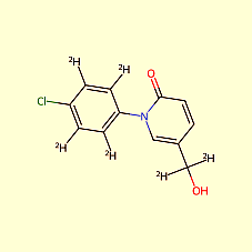 [2H]c1c([2H])c(-n2cc(C([2H])([2H])O)ccc2=O)c([2H])c([2H])c1Cl